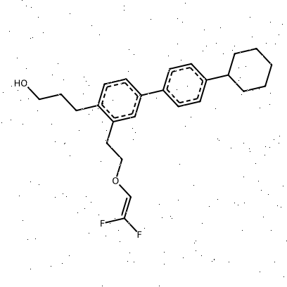 OCCCc1ccc(-c2ccc(C3CCCCC3)cc2)cc1CCOC=C(F)F